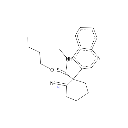 CCCCO/N=C1/CCCCC1(C(=S)NC)c1cnc2ccccc2c1